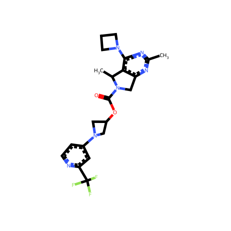 Cc1nc2c(c(N3CCC3)n1)C(C)N(C(=O)OC1CN(c3ccnc(C(F)(F)F)c3)C1)C2